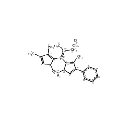 CC1=CC(C)[C]([Zr+2]([C]2=C(C)C(c3ccccc3)=CC2C)=[Ge]([CH3])[CH3])=C1C.[Cl-].[Cl-]